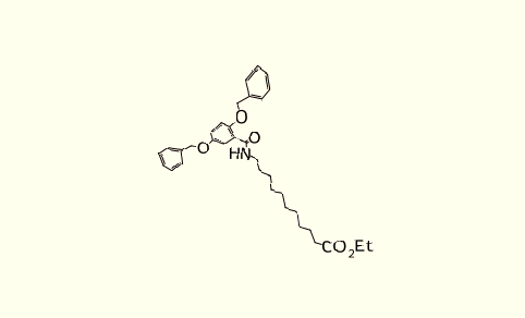 CCOC(=O)CCCCCCCCCCNC(=O)c1cc(OCc2ccccc2)ccc1OCc1ccccc1